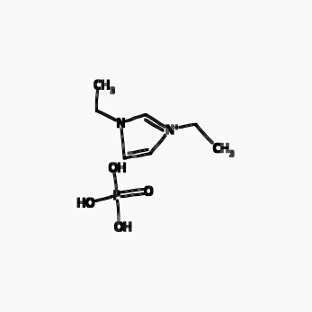 CCn1cc[n+](CC)c1.O=P(O)(O)O